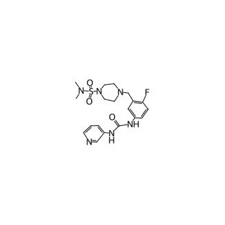 CN(C)S(=O)(=O)N1CCN(Cc2cc(NC(=O)Nc3cccnc3)ccc2F)CC1